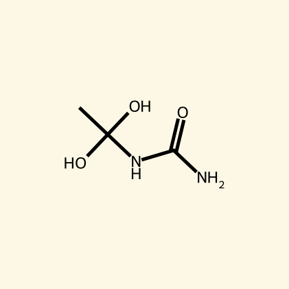 CC(O)(O)NC(N)=O